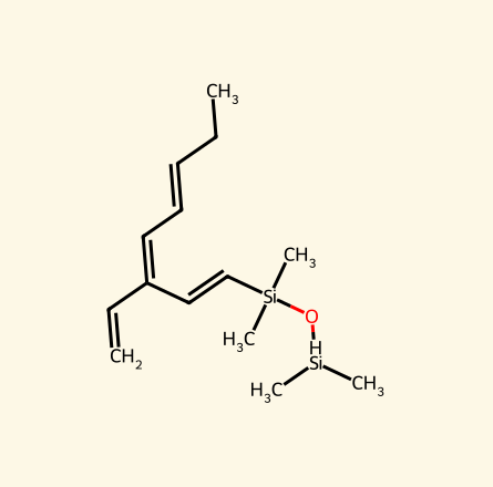 C=CC(C=C[Si](C)(C)O[SiH](C)C)=CC=CCC